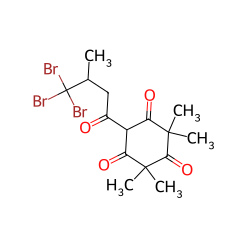 CC(CC(=O)C1C(=O)C(C)(C)C(=O)C(C)(C)C1=O)C(Br)(Br)Br